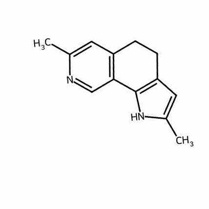 Cc1cc2c(cn1)-c1[nH]c(C)cc1CC2